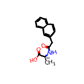 C[C@H](NC(=O)Cc1ccc2ccccc2c1)C(=O)O